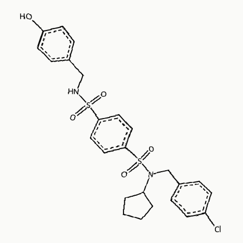 O=S(=O)(NCc1ccc(O)cc1)c1ccc(S(=O)(=O)N(Cc2ccc(Cl)cc2)C2CCCC2)cc1